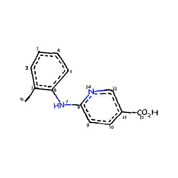 Cc1ccccc1Nc1ccc(C(=O)O)cn1